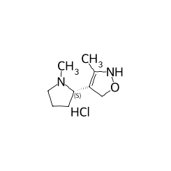 CC1=C([C@@H]2CCCN2C)CON1.Cl